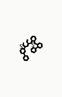 C=C/C(=C\c1c(C)sc2ccc(-c3ccccc3)cc12)c1sc(-c2ccccc2-c2ccccc2)c2ccccc12